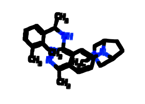 Cc1cccc([C@@H](C)Nc2nnc(C)c3ccc(N4C5CCC4CN(C)C5)cc23)c1C